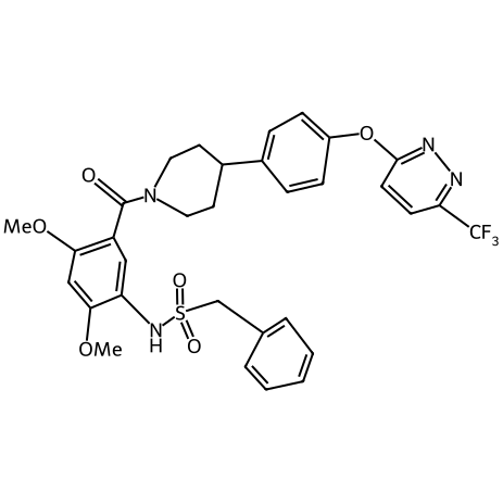 COc1cc(OC)c(C(=O)N2CCC(c3ccc(Oc4ccc(C(F)(F)F)nn4)cc3)CC2)cc1NS(=O)(=O)Cc1ccccc1